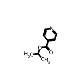 [CH2]C(C)OC(=O)c1ccncc1